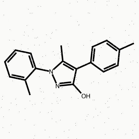 Cc1ccc(-c2c(O)nn(-c3ccccc3C)c2C)cc1